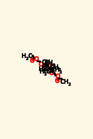 C=CC(=O)OCCOC(C)(CC)[Si](C)(C)OC(C)(C)[Si](C)(C)OCCOC(=O)C=C